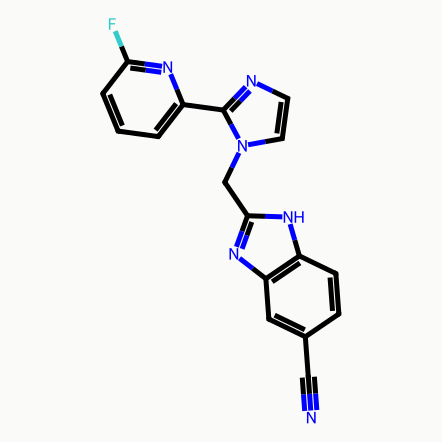 N#Cc1ccc2[nH]c(Cn3ccnc3-c3cccc(F)n3)nc2c1